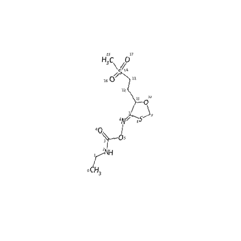 CCNC(=O)ON=C1SCOC1CCS(C)(=O)=O